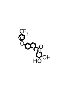 O=C(c1ccc2cc(Oc3ccc(C(F)(F)F)cn3)ccc2n1)N1CCC(O)C(O)C1